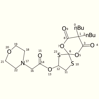 CCCCC1(CCCC)C(=O)OC2(OC1=O)SCC(OC(=O)CN1CCOCC1)S2